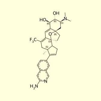 CN(C)[C@H]1C[C@@]23CC[C@@]4(O2)C(=C(C(F)(F)F)C[C@]2(C)C(c5ccc6cc(N)ncc6c5)=CCC24)C=C3[C@@H](O)[C@@H]1O